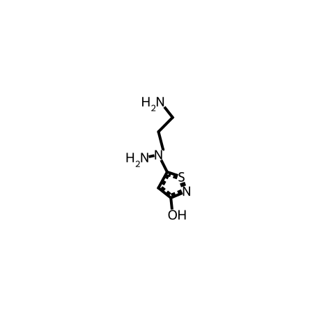 NCCCN(N)c1cc(O)ns1